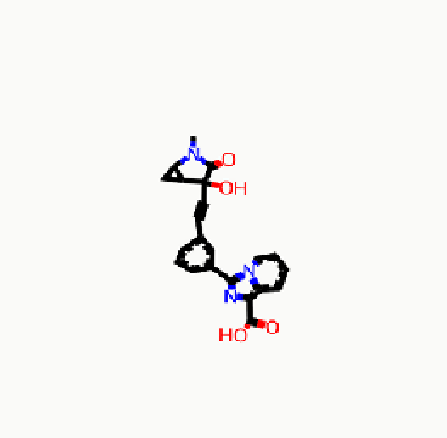 CN1C(=O)C(O)(C#Cc2cccc(-c3nc(C(=O)O)c4ccccn34)c2)C2CC21